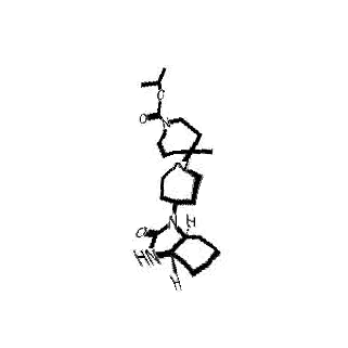 CC(C)OC(=O)N1CCC(C)(N2CCC(N3C(=O)N[C@H]4CCCC[C@@H]43)CC2)CC1